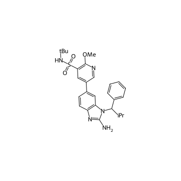 COc1ncc(-c2ccc3nc(N)n(C(c4ccccc4)C(C)C)c3c2)cc1S(=O)(=O)NC(C)(C)C